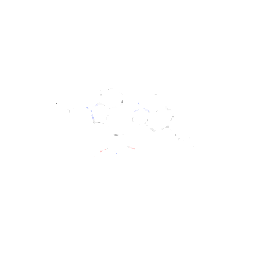 Cn1cc(C2=C(c3cn(C)c4ccc([N+](=O)[O-])cc34)C(=O)NC2=O)c2ccccc21